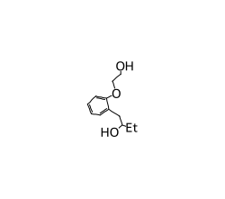 CCC(O)Cc1ccccc1OCCO